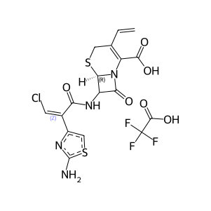 C=CC1=C(C(=O)O)N2C(=O)C(NC(=O)/C(=C\Cl)c3csc(N)n3)[C@H]2SC1.O=C(O)C(F)(F)F